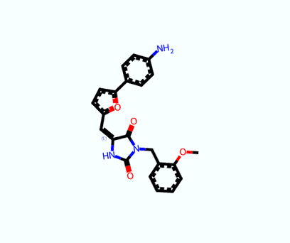 COc1ccccc1CN1C(=O)N/C(=C/c2ccc(-c3ccc(N)cc3)o2)C1=O